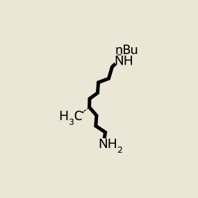 CCCCNCCCCC[C@@H](C)CCCN